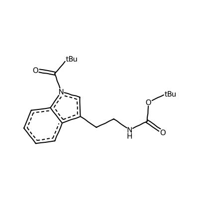 CC(C)(C)OC(=O)NCCc1cn(C(=O)C(C)(C)C)c2ccccc12